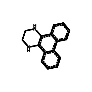 c1ccc2c(c1)c1c(c3ccccc32)NCCN1